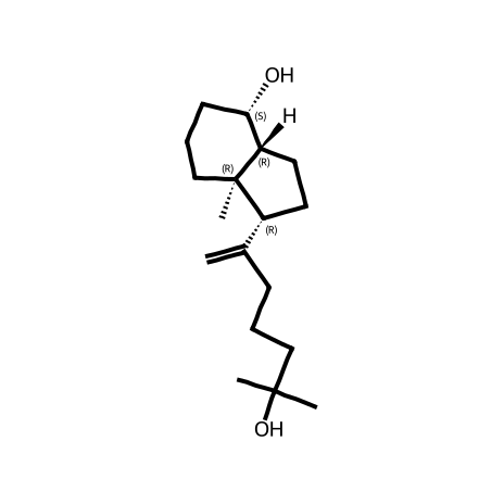 C=C(CCCC(C)(C)O)[C@H]1CC[C@H]2[C@@H](O)CCC[C@]12C